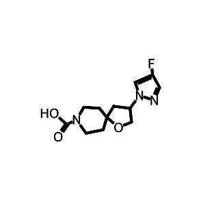 O=C(O)N1CCC2(CC1)CC(n1cc(F)cn1)CO2